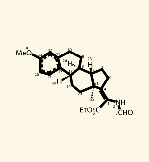 CCOC(=O)/C(NC=O)=C1/CC[C@H]2[C@@H]3CCc4cc(OC)ccc4[C@H]3CC[C@]12C